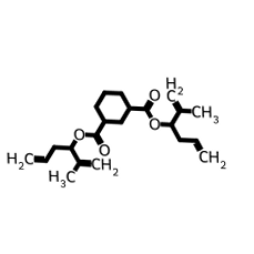 C=CCC(OC(=O)C1CCCC(C(=O)OC(CC=C)C(=C)C)C1)C(=C)C